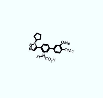 CCNC(=O)O.COc1ccc(-c2ccc(-c3cnnn3C3CCCC3)cc2)cc1OC